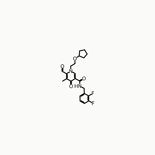 Cc1c(C=O)n(CCOC2CCCC2)cc(C(=O)NCc2cccc(F)c2F)c1=O